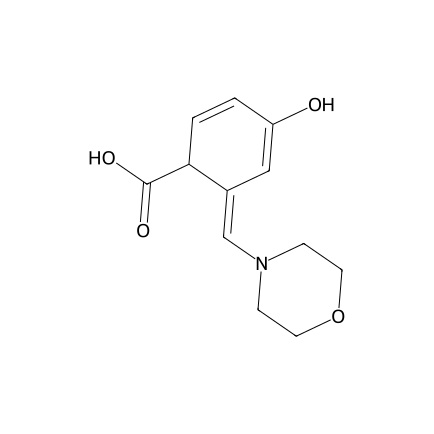 O=C(O)C1C=CC(O)=CC1=CN1CCOCC1